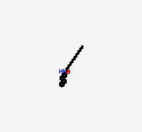 CCCCCCCCC=CCCCCCCCC(=O)Nc1ccc2c(ccc3c4ccccc4ccc23)c1